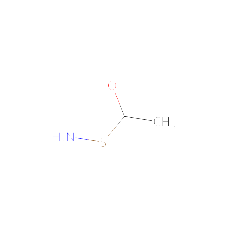 CC([O])SN